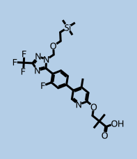 Cc1cc(OCC(C)(C)C(=O)O)ncc1-c1ccc(-c2nc(C(F)(F)F)nn2COCC[Si](C)(C)C)c(F)c1